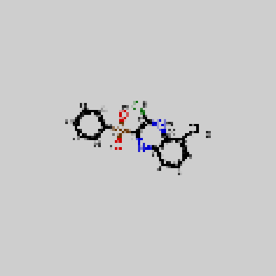 Cc1cccc2nc(S(=O)(=O)c3ccccc3)c(Cl)nc12